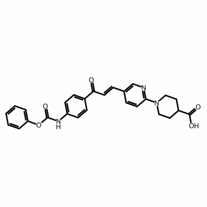 O=C(Nc1ccc(C(=O)C=Cc2ccc(N3CCC(C(=O)O)CC3)nc2)cc1)Oc1ccccc1